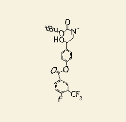 CN(CC(O)c1ccc(OC(=O)c2ccc(F)c(C(F)(F)F)c2)cc1)C(=O)OC(C)(C)C